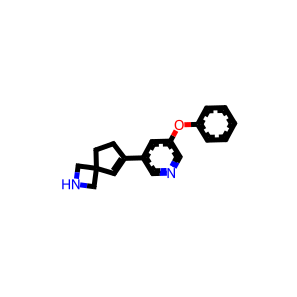 C1=C(c2cncc(Oc3ccccc3)c2)CCC12CNC2